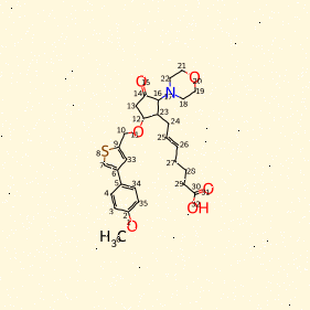 COc1ccc(-c2csc(COC3CC(=O)C(N4CCOCC4)C3CC=CCCCC(=O)O)c2)cc1